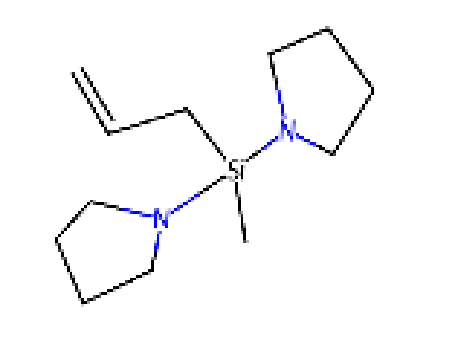 C=CC[Si](C)(N1CCCC1)N1CCCC1